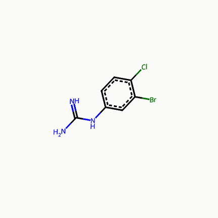 N=C(N)Nc1ccc(Cl)c(Br)c1